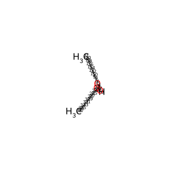 [2H]OC[C@H](COCCCCCCCCCCCCCCCC)OCCCCCCCCCCCCCCCC